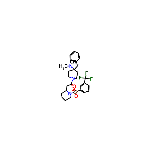 CN(C)C1(Cc2ccccc2)CCN(C(=O)CC2CCCCN2S(=O)(=O)c2cccc(C(F)(F)F)c2)CC1